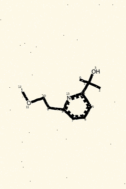 CC(C)(O)c1cccc(CCOI)n1